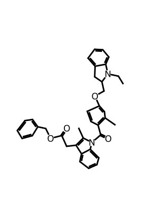 CCN1c2ccccc2CC1COc1ccc(C(=O)n2c(C)c(CC(=O)OCc3ccccc3)c3ccccc32)c(C)c1